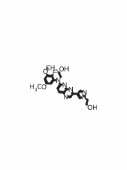 COc1cc(OC)c(F)c(N(CCO)c2ccc3ncc(-c4cnn(CCO)c4)nc3n2)c1